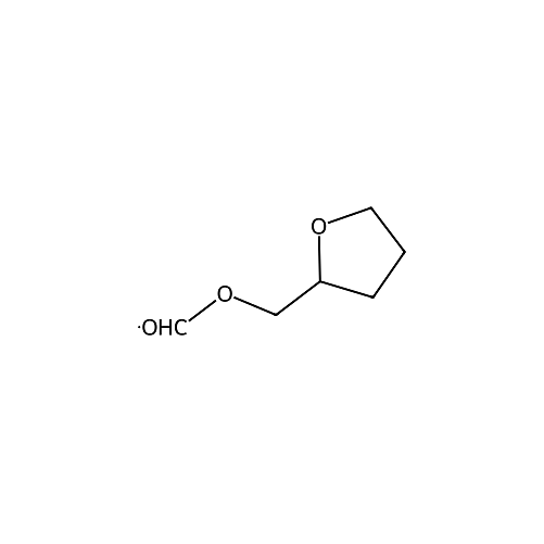 O=[C]OCC1CCCO1